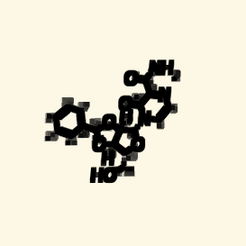 NC(=O)c1nccn([C@@H]2O[C@H](CO)[C@H]3OC(c4ccccc4)O[C@H]32)c1=O